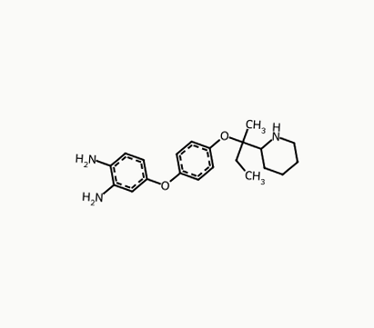 CCC(C)(Oc1ccc(Oc2ccc(N)c(N)c2)cc1)C1CCCCN1